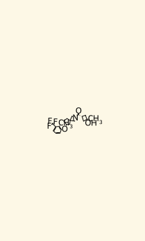 Cc1c(OC2CCC3(C2)CN(C(=O)[C@H]2C[C@@](C)(O)C2)C3)cccc1C(F)(F)F